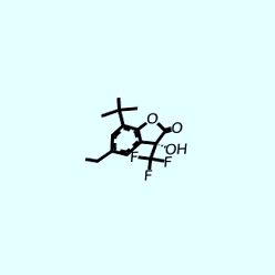 CCc1cc(C(C)(C)C)c2c(c1)[C@](O)(C(F)(F)F)C(=O)O2